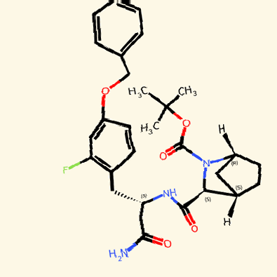 CC(C)(C)OC(=O)N1[C@@H]2CC[C@@H](C2)[C@H]1C(=O)N[C@@H](Cc1ccc(OCc2ccccc2)cc1F)C(N)=O